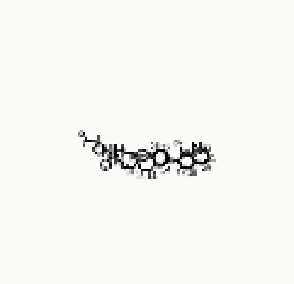 CCCONC(=O)N1CCC2(CCc3cc(-c4ccc5cccnc5c4C)ccc3O2)CC1